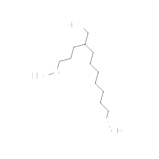 CCC(CCCCCCCOC)CCCOC